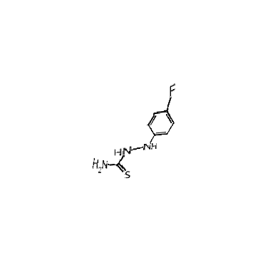 NC(=S)NNc1ccc(F)cc1